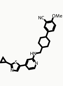 COc1ccc(C2CCC(CNc3cc(-c4cnc(C5CC5)s4)ccn3)CC2)cc1C#N